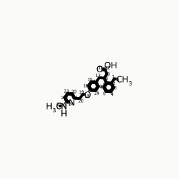 CCc1ccccc1C(CC(=O)O)Cc1ccc(OCCc2cccc(NC)n2)cc1